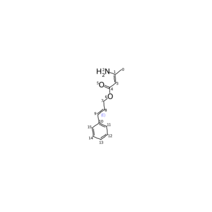 CC(N)=CC(=O)OC/C=C/c1ccccc1